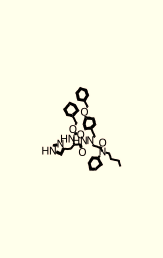 CCCCN(C(=O)CN(Cc1ccc(OCc2ccccc2)cc1)NC(=O)C(Cc1c[nH]cn1)NC(=O)OCc1ccccc1)c1ccccc1